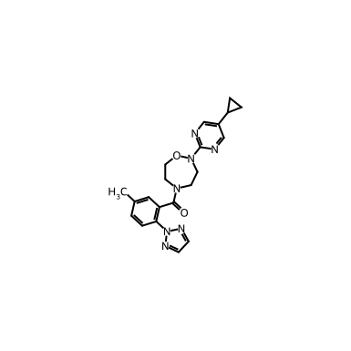 Cc1ccc(-n2nccn2)c(C(=O)N2CCON(c3ncc(C4CC4)cn3)CC2)c1